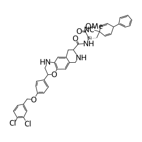 COC(=O)[C@H](CC1(C#N)C=CC(c2ccccc2)C=C1)NC(=O)C1Cc2cc3c(cc2CN1)OC(c1ccc(OCc2ccc(Cl)c(Cl)c2)cc1)CN3